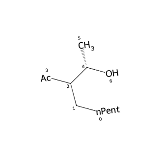 CCCCCCC(C(C)=O)[C@H](C)O